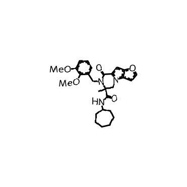 COc1cccc(CN2C(=O)c3cc4occc4n3CC2(C)C(=O)NC2CCCCCC2)c1OC